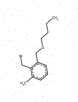 CCCCOCc1cccc(C)c1CBr